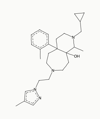 Cc1cnn(CCN2CCC3(c4ccccc4C)CCN(CC4CC4)C(C)C3(O)CC2)c1